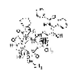 CC(=O)O[C@H]1C(=O)[C@@]2(C)C([C@H](OC(=O)c3ccccc3)[C@]3(O)C[C@H](OC(=O)[C@H](O)[C@@H](NC(=O)c4ccccc4)c4ccccc4)C(C)C1C3(C)C)[C@]1(OC(C)=O)CO[C@@H]1C[C@@H]2O